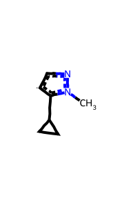 Cn1nc[c]c1C1CC1